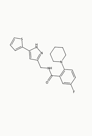 O=C(NCc1cc(-c2cccs2)[nH]n1)c1cc(F)ccc1N1CCCCC1